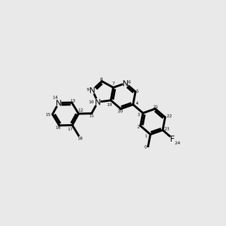 Cc1cc(-c2cnc3cnn(Cc4cnccc4C)c3c2)ccc1F